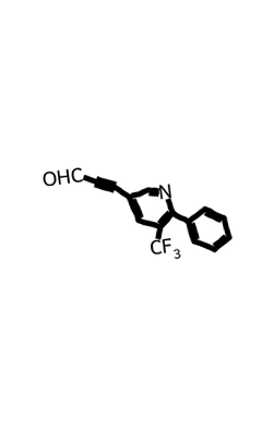 O=CC#Cc1cnc(-c2ccccc2)c(C(F)(F)F)c1